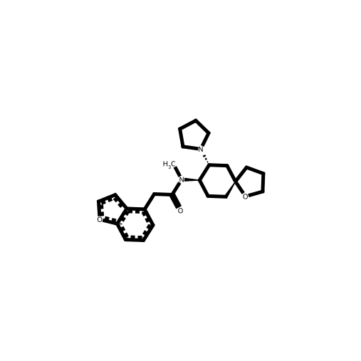 CN(C(=O)Cc1cccc2occc12)[C@@H]1CC[C@]2(CCCO2)C[C@H]1N1CCCC1